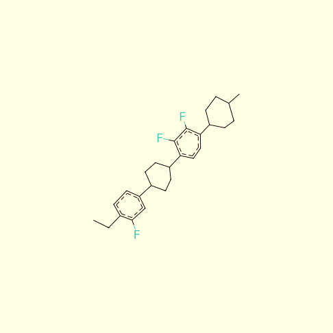 CCc1ccc(C2CCC(c3ccc(C4CCC(C)CC4)c(F)c3F)CC2)cc1F